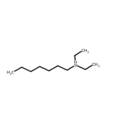 CCCCCCC[SiH](CC)CC